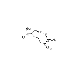 C=CC(CCC[C@@H](C)[C@H](C)F)[C@@H](C)C(C)(C)C